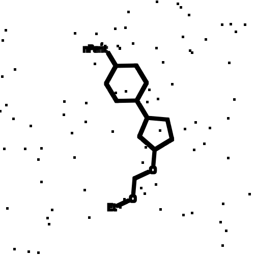 CCCCCC1CCC(C2CCC(OCOCC)C2)CC1